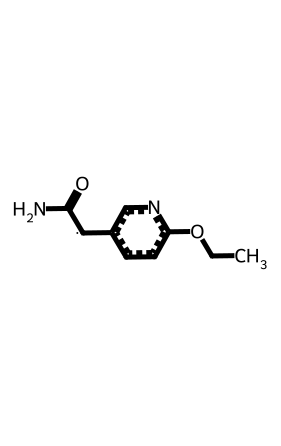 CCOc1ccc([CH]C(N)=O)cn1